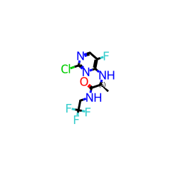 C[C@H](Nc1nc(Cl)ncc1F)C(=O)NCC(F)(F)F